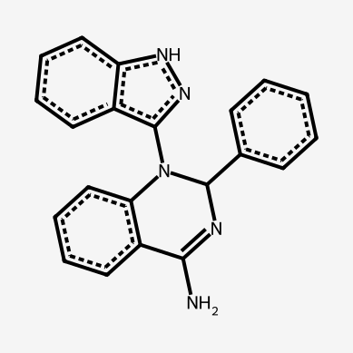 NC1=NC(c2ccccc2)N(c2n[nH]c3ccccc23)c2ccccc21